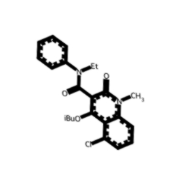 CCN(C(=O)c1c(OCC(C)C)c2c(Cl)cccc2n(C)c1=O)c1ccccc1